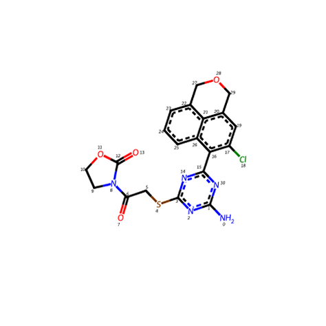 Nc1nc(SCC(=O)N2CCOC2=O)nc(-c2c(Cl)cc3c4c(cccc24)COC3)n1